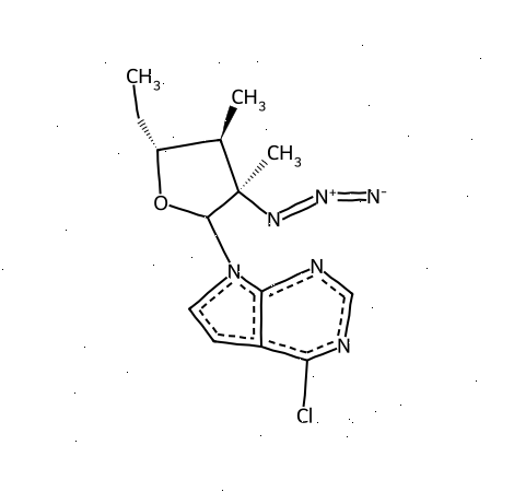 CC[C@H]1OC(n2ccc3c(Cl)ncnc32)[C@](C)(N=[N+]=[N-])[C@@H]1C